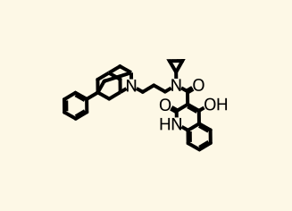 O=C(c1c(O)c2ccccc2[nH]c1=O)N(CCCN1C2CC3CC1CC(c1ccccc1)(C3)C2)C1CC1